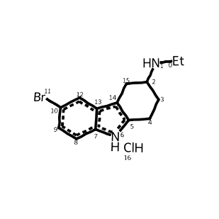 CCNC1CCc2[nH]c3ccc(Br)cc3c2C1.Cl